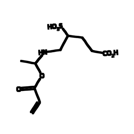 C=CC(=O)OC(C)NCC(CCC(=O)O)S(=O)(=O)O